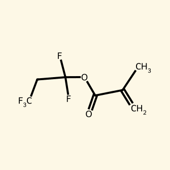 C=C(C)C(=O)OC(F)(F)CC(F)(F)F